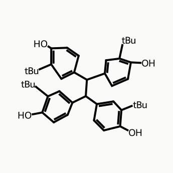 CC(C)(C)c1cc(C(c2ccc(O)c(C(C)(C)C)c2)C(c2ccc(O)c(C(C)(C)C)c2)c2ccc(O)c(C(C)(C)C)c2)ccc1O